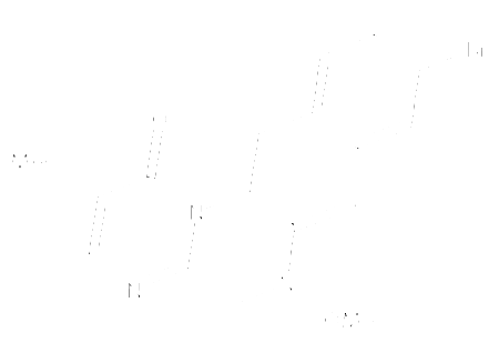 COc1cncn(C(Cc2ccc(Br)cc2)C(=O)N(C)OC)c1=O